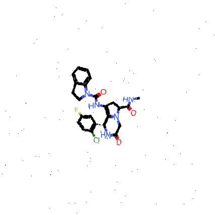 CNC(=O)C1CC(NC(=O)N2CCc3ccccc32)=C2[C@@H](c3cc(F)ccc3Cl)NC(=O)CN21